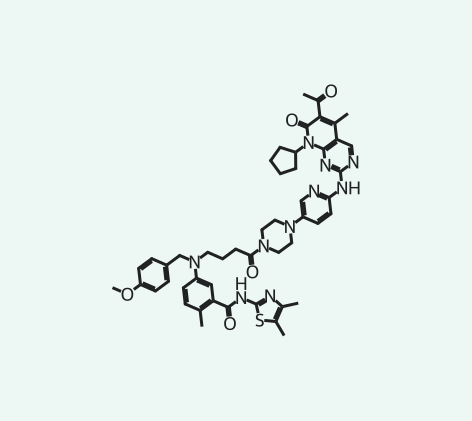 COc1ccc(CN(CCCC(=O)N2CCN(c3ccc(Nc4ncc5c(C)c(C(C)=O)c(=O)n(C6CCCC6)c5n4)nc3)CC2)c2ccc(C)c(C(=O)Nc3nc(C)c(C)s3)c2)cc1